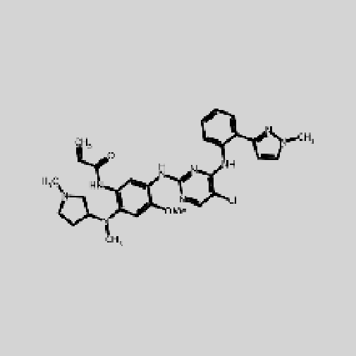 C=CC(=O)Nc1cc(Nc2ncc(Cl)c(Nc3ccccc3-c3ccn(C)n3)n2)c(OC)cc1N(C)C1CCN(C)C1